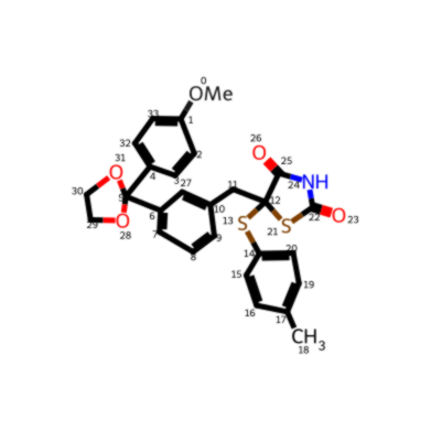 COc1ccc(C2(c3cccc(CC4(Sc5ccc(C)cc5)SC(=O)NC4=O)c3)OCCO2)cc1